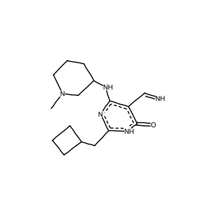 CN1CCCC(Nc2nc(CC3CCC3)[nH]c(=O)c2C=N)C1